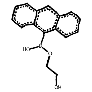 OCCOB(O)c1c2ccccc2cc2ccccc12